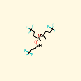 C[SiH](CCC(F)(F)F)O[Si](C)(CCC(F)(F)F)O[SiH](C)CCC(F)(F)F